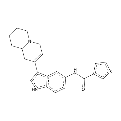 O=C(Nc1ccc2[nH]cc(C3=CCN4CCCCC4C3)c2c1)c1ccsc1